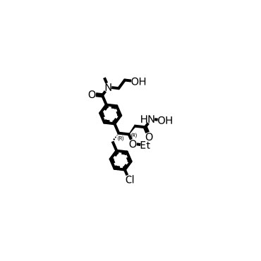 CCO[C@H](CC(=O)NO)[C@H](Cc1ccc(Cl)cc1)c1ccc(C(=O)N(C)CCO)cc1